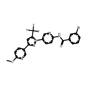 COc1ccc(-c2cc(C(F)(F)F)n(-c3ccc(NC(=O)c4cccc(Br)c4)nc3)n2)cn1